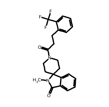 CN1C(=O)c2ccccc2C12CCN(C(=O)CCc1ccccc1C(F)(F)F)CC2